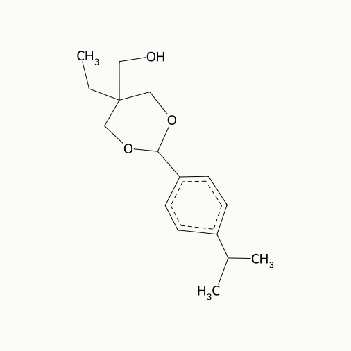 CCC1(CO)COC(c2ccc(C(C)C)cc2)OC1